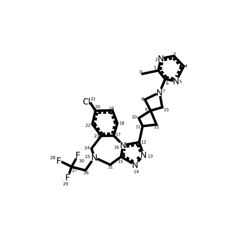 Cc1nccnc1N1CC2(CC(c3nnc4n3-c3ccc(Cl)cc3CN(CC(F)(F)F)C4)C2)C1